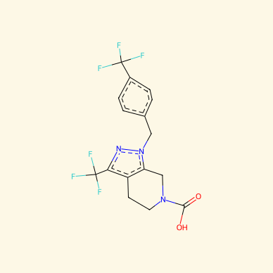 O=C(O)N1CCc2c(C(F)(F)F)nn(Cc3ccc(C(F)(F)F)cc3)c2C1